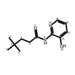 CC(C)(C)CCC(=O)Nc1ncccc1O